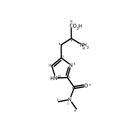 CN(C)C(=O)c1nc(CC(N)C(=O)O)c[nH]1